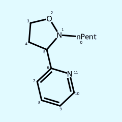 CCCCCN1OCCC1c1ccccn1